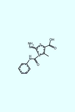 Cc1c(C(=O)O)sc(=NN)n1C(=O)Nc1ccccc1